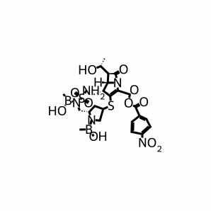 CB(O)N1CC(SC2=C(C(=O)OC(=O)c3ccc([N+](=O)[O-])cc3)N3C(=O)[C@H]([C@@H](C)O)[C@H]3[C@H]2C)C[C@H]1CN(B(C)O)S(N)(=O)=O